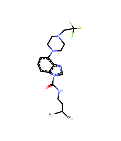 CC(C)CCNC(=O)n1cnc2c(N3CCN(CC(F)(F)F)CC3)cccc21